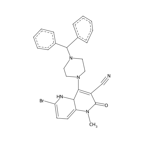 CN1C(=O)C(C#N)=C(N2CCN(C(c3ccccc3)c3ccccc3)CC2)C2NC(Br)=CC=C21